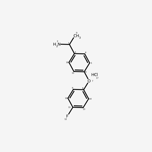 CC(N)c1ccc(Oc2ccc(F)cc2)cc1.Cl